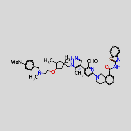 CNc1ccc(CN(C)CCOC2CC(C)(CN/C(C)=C(\C=N)c3ccc(N4CCc5cccc(C(=O)Nc6nc7ccccc7s6)c5C4)nc3C=O)CC2C)cc1